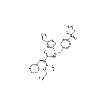 CCON(C=O)[C@@H](Cc1ccccc1)C(=O)N[C@@H](Cc1ccc(S(=O)(=O)ON)cc1)c1nc(CC)cs1